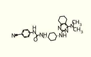 CN(C)c1nc(N[C@H]2CC[C@@H](CNC(=O)Nc3ccc(C#N)cc3)CC2)nc2c1CCCC2